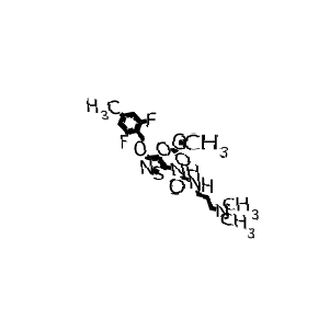 COC(=O)Oc1c(OCc2c(F)cc(C)cc2F)nsc1NC(=O)NCCCN(C)C